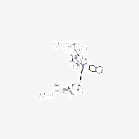 C=C/C(=C(C#CC#Cc1cnc([C@@H]2CCCN2C(=O)[C@@H](NC(=O)OC)C(C)C)[nH]1)\N=C(/N)[C@@H]1CCCN1C(=O)[C@@H](NC(=O)OC)C(C)C)c1ccc2ccccc2c1